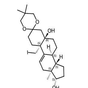 CC1(C)COC2(CC[C@]3(CI)C4=CC[C@]5(C)[C@@H](O)CC[C@H]5[C@@H]4CC[C@@]3(O)C2)OC1